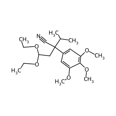 CCOC(CC(C#N)(c1cc(OC)c(OC)c(OC)c1)C(C)C)OCC